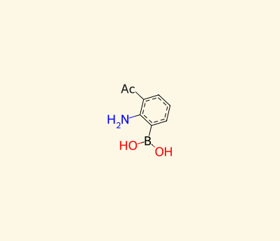 CC(=O)c1cccc(B(O)O)c1N